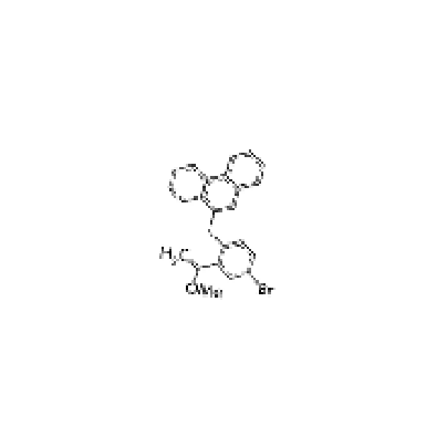 C=C(OC)c1cc(Br)ccc1Cc1cc2ccccc2c2ccccc12